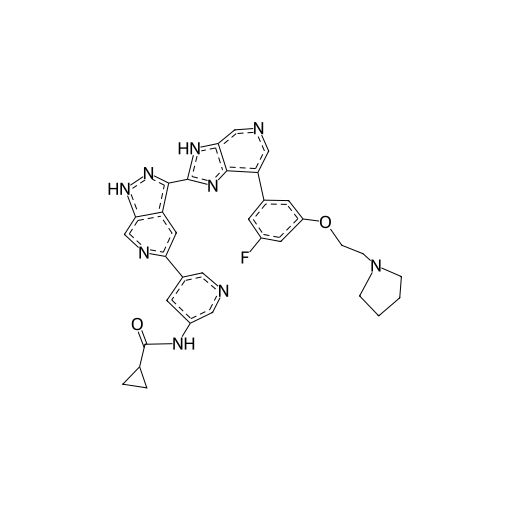 O=C(Nc1cncc(-c2cc3c(-c4nc5c(-c6cc(F)cc(OCCN7CCCC7)c6)cncc5[nH]4)n[nH]c3cn2)c1)C1CC1